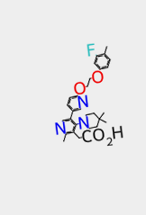 Cc1ccc(OCCOc2ccc(-c3cnc(C)c(CC(=O)O)c3N3CCC(C)(C)CC3)cn2)cc1F